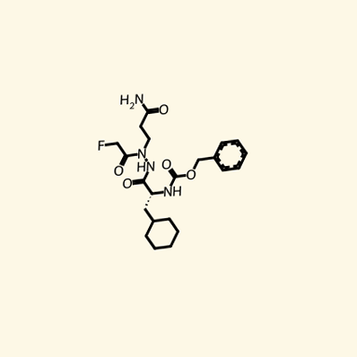 NC(=O)CCN(NC(=O)[C@@H](CC1CCCCC1)NC(=O)OCc1ccccc1)C(=O)CF